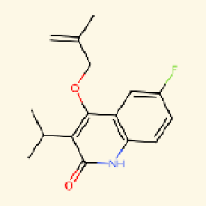 C=C(C)COc1c(C(C)C)c(=O)[nH]c2ccc(F)cc12